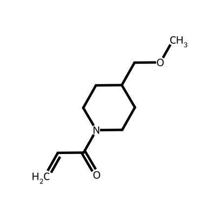 C=CC(=O)N1CCC(COC)CC1